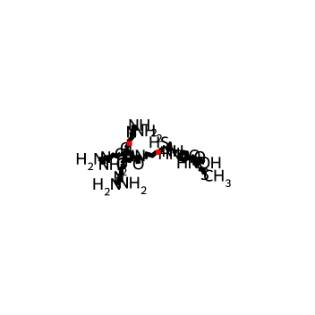 CSCC[C@H](NC(=O)c1ccc(NC[C@H](CS)NCCCCCCNC(=O)c2cc(OCCCN=C(N)N)c(OCCCN=C(N)N)c(OCCCN=C(N)N)c2)cc1)C(=O)O